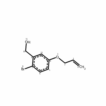 C=CCOc1ccc(Br)c(CO)c1